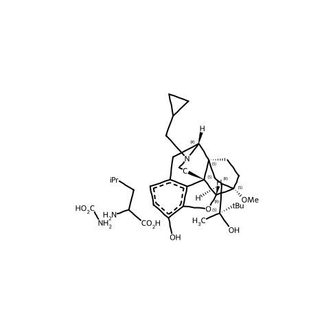 CC(C)CC(N)C(=O)O.CO[C@@]12CC[C@@]3(C[C@@H]1[C@](C)(O)C(C)(C)C)[C@H]1Cc4ccc(O)c5c4[C@@]3(CCN1CC1CC1)[C@H]2O5.NC(=O)O